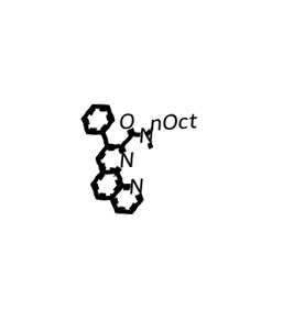 CCCCCCCCN(C)C(=O)c1nc2c(ccc3cccnc32)cc1-c1ccccc1